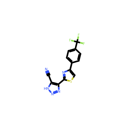 N#Cc1[nH]nnc1-c1nc(-c2ccc(C(F)(F)F)cc2)cs1